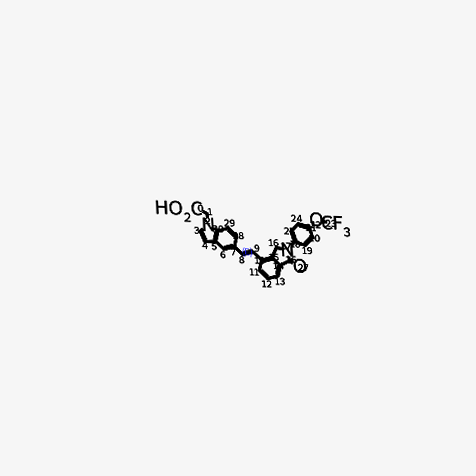 O=C(O)Cn1ccc2cc(/C=C/c3cccc4c3CN(c3ccc(OC(F)(F)F)cc3)C4=O)ccc21